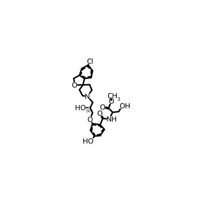 COC(=O)C(CO)NC(=O)c1ccc(O)cc1OC[C@@H](O)CN1CCC2(CC1)OCc1cc(Cl)ccc12